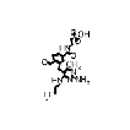 CCCCNc1nc(N)nc(C)c1Cc1cc(C(=O)NCCS(=O)(=O)O)ccc1C=O